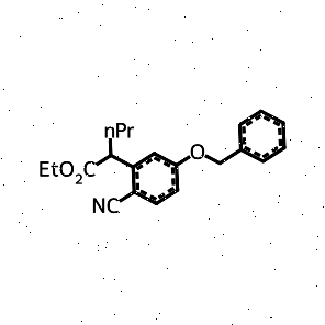 CCCC(C(=O)OCC)c1cc(OCc2ccccc2)ccc1C#N